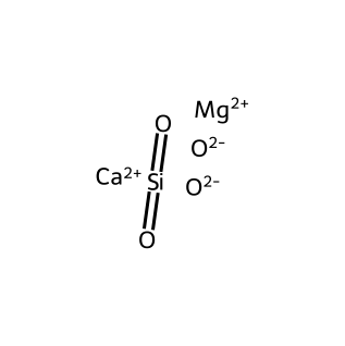 O=[Si]=O.[Ca+2].[Mg+2].[O-2].[O-2]